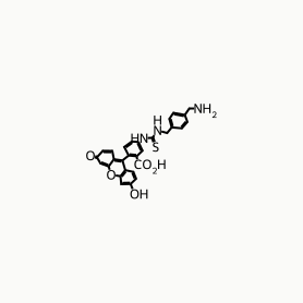 NCc1ccc(CNC(=S)Nc2ccc(-c3c4ccc(=O)cc-4oc4cc(O)ccc34)c(C(=O)O)c2)cc1